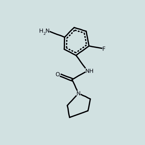 Nc1ccc(F)c(NC(=O)N2CCCC2)c1